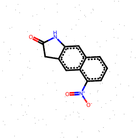 O=C1Cc2cc3c([N+](=O)[O-])cccc3cc2N1